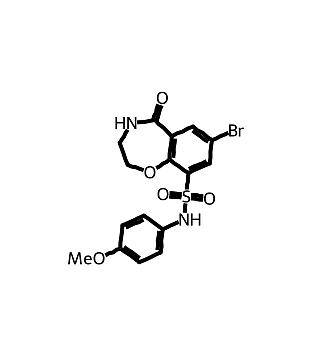 COc1ccc(NS(=O)(=O)c2cc(Br)cc3c2OCCNC3=O)cc1